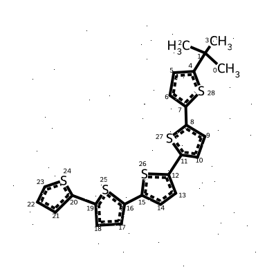 CC(C)(C)c1ccc(-c2ccc(-c3ccc(-c4ccc(-c5cccs5)s4)s3)s2)s1